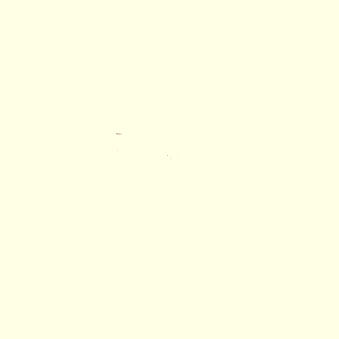 CCCCCCCCCCCCCCCCCC[N+](C)(C)CC(=O)[O-].[NaH]